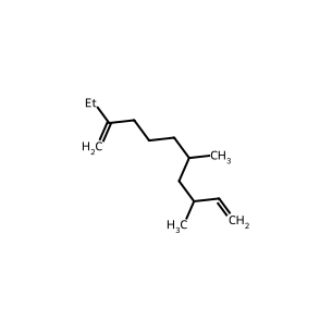 C=CC(C)CC(C)CCCC(=C)CC